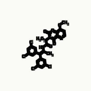 COc1ccnc2c(=O)n([C@@H](C)C(=O)NC(C)=C(c3cc(Cl)cc(Cl)c3)c3cc(Cl)cc(Cl)c3)c(=O)oc12